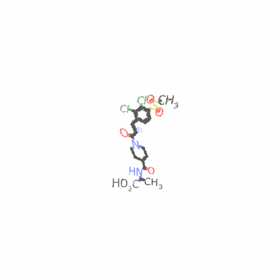 CC(NC(=O)C1CCN(C(=O)/C=C/c2ccc(S(C)(=O)=O)c(Cl)c2Cl)CC1)C(=O)O